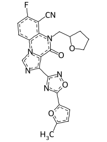 Cc1ccc(-c2nc(-c3ncn4c3c(=O)n(CC3CCCO3)c3c(C#N)c(F)ccc34)no2)o1